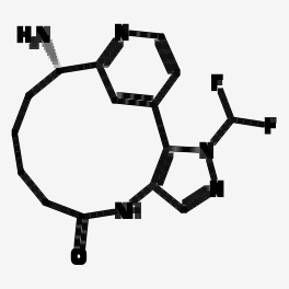 N[C@H]1CCCCC(=O)Nc2cnn(C(F)F)c2-c2ccnc1c2